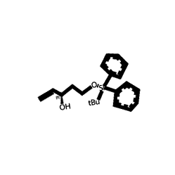 C=C[C@H](O)CCO[Si](c1ccccc1)(c1ccccc1)C(C)(C)C